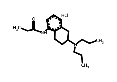 CCCN(CCC)C1CCc2c(cccc2NC(=O)CC)C1.Cl